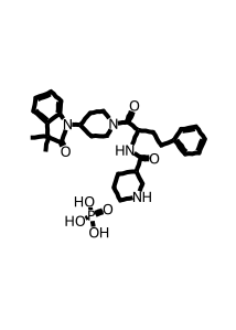 CC1(C)C(=O)N(C2CCN(C(=O)C(CCc3ccccc3)NC(=O)C3CCCNC3)CC2)c2ccccc21.O=P(O)(O)O